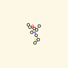 c1ccc(-c2ccc(N(c3ccc(-c4cccc5c4sc4ccccc45)cc3)c3ccccc3-c3cccc4oc5c6ccccc6ccc5c34)cc2)cc1